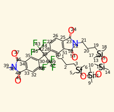 CCCC[Si](C)(C)O[Si](C)(C)O[Si](C)(C)O[Si](C)(C)CCCN1C(=O)c2ccc(C(c3ccc4c(c3)C(=O)N(C)C4=O)(C(F)(F)F)C(F)(F)F)cc2C1=O